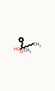 CCCCCCC(C)/C(=C\Cc1ccccc1)C(=O)O